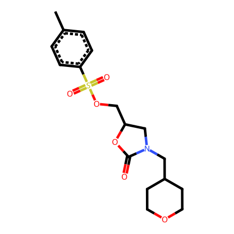 Cc1ccc(S(=O)(=O)OCC2CN(CC3CCOCC3)C(=O)O2)cc1